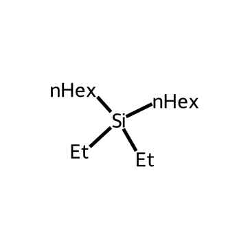 CCCCCC[Si](CC)(CC)CCCCCC